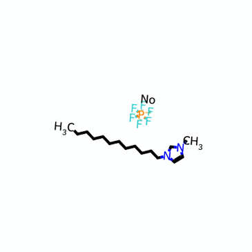 CCCCCCCCCCCCN1C=CN(C)C1.F[P-](F)(F)(F)(F)F.[No]